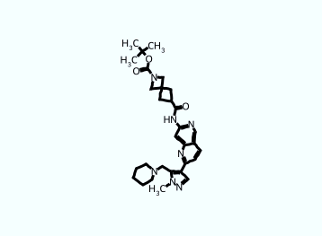 Cn1ncc(-c2ccc3cnc(NC(=O)C4CC5(C4)CN(C(=O)OC(C)(C)C)C5)cc3n2)c1CN1CCCCC1